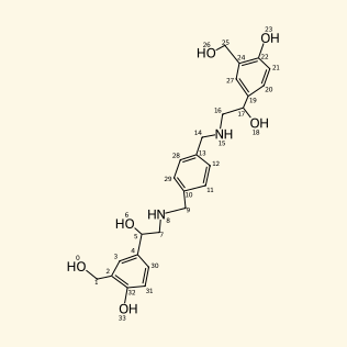 OCc1cc(C(O)CNCc2ccc(CNCC(O)c3ccc(O)c(CO)c3)cc2)ccc1O